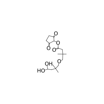 CC(C)(COCC(C)(C)CC(O)O)CC(=O)OC1C(=O)CCC1=O